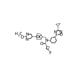 COc1ncc(C23CCC(CN(C(=O)C45CC(F)(C4)C5)c4cccc(-c5nc(C6CC6)no5)c4)(CC2)CO3)cn1